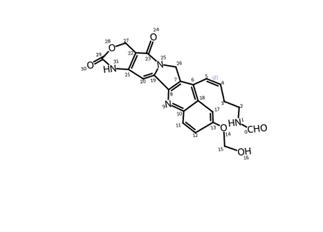 O=CNCC/C=C\c1c2c(nc3ccc(OCO)cc13)-c1cc3c(c(=O)n1C2)COC(=O)N3